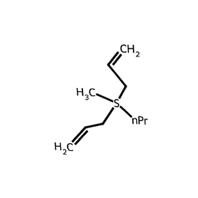 C=CCS(C)(CC=C)CCC